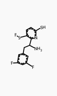 NC(Cc1cc(F)cc(F)c1)c1nc(S)ccc1SF